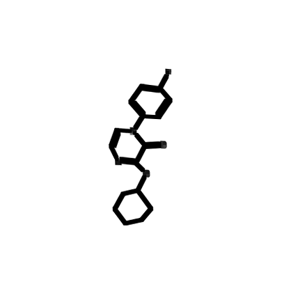 O=c1c(OC2CCCCC2)nccn1-c1ccc(F)cc1